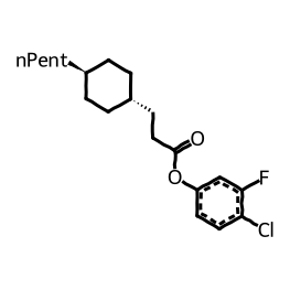 CCCCC[C@H]1CC[C@H](CCC(=O)Oc2ccc(Cl)c(F)c2)CC1